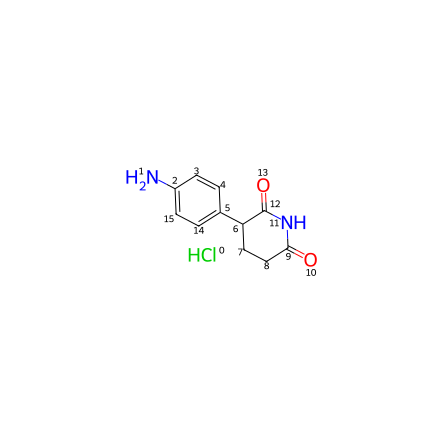 Cl.Nc1ccc(C2CCC(=O)NC2=O)cc1